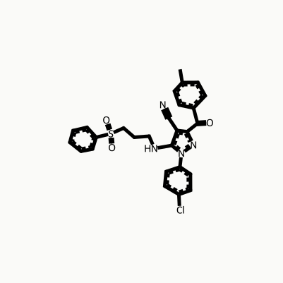 Cc1ccc(C(=O)c2nn(-c3ccc(Cl)cc3)c(NCCCS(=O)(=O)c3ccccc3)c2C#N)cc1